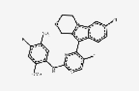 COc1cc(F)c([N+](=O)[O-])cc1Nc1ncc(F)c(-c2c3n(c4cc(Cl)ccc24)CCOC3)n1